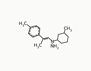 C/C(=C\N(N)C1CCCC(C)C1)c1ccc(C)cc1